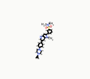 CN(C)S(=O)(=O)c1cccc(-c2cc3ncc(-c4ccc(N5CCN(C6CC6)CC5)cc4)cc3n2C)c1